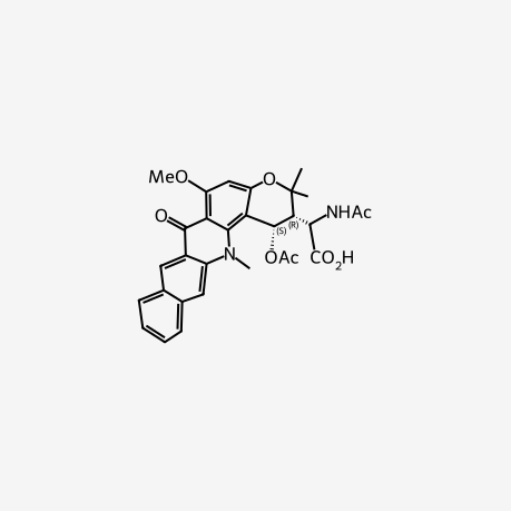 COc1cc2c(c3c1c(=O)c1cc4ccccc4cc1n3C)[C@@H](OC(C)=O)[C@@H](C(NC(C)=O)C(=O)O)C(C)(C)O2